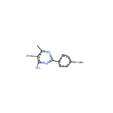 CCCCc1ccc(-c2nc(C)c(C(C)C)c(N)n2)cc1